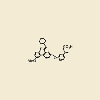 COc1ccc(F)c(-c2ccc(COc3cccc([C@H](C)CC(=O)O)c3)cc2C=CC2CCCCC2)c1